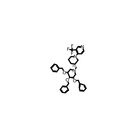 FC(F)(F)c1cnccc1N1CCC[C@@H](CN2C[C@H](OCc3ccccc3)C(OCc3ccccc3)[C@H](OCc3ccccc3)C2)C1